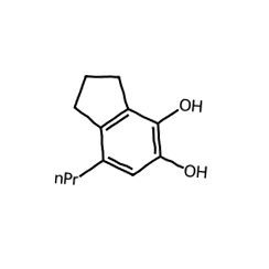 [CH2]CCc1cc(O)c(O)c2c1CCC2